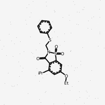 CCOc1cc(C(C)C)c2c(c1)S(=O)(=O)N(CSc1ccccc1)C2=O